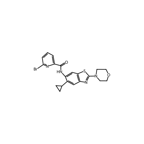 O=C(Nc1cc2sc(N3CCOCC3)nc2cc1C1CC1)c1cccc(Br)n1